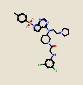 Cc1ccc(S(=O)(=O)n2ccc3c(N(CCN4CCCC4)C4CCCN(C(=O)CNc5cc(Cl)cc(Cl)c5)C4)ncnc32)cc1